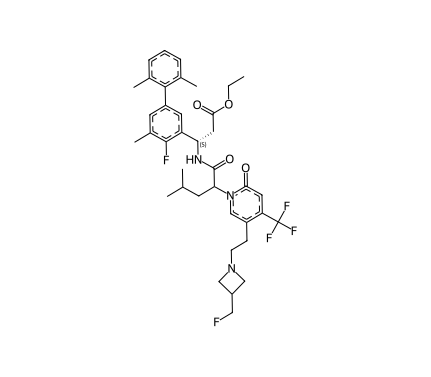 CCOC(=O)C[C@H](NC(=O)C(CC(C)C)n1cc(CCN2CC(CF)C2)c(C(F)(F)F)cc1=O)c1cc(-c2c(C)cccc2C)cc(C)c1F